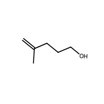 C=C(C)CCCO